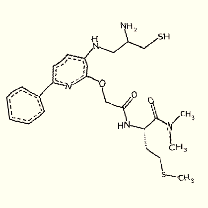 CSCC[C@H](NC(=O)COc1nc(-c2ccccc2)ccc1NCC(N)CS)C(=O)N(C)C